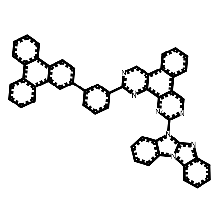 c1cc(-c2ccc3c4ccccc4c4ccccc4c3c2)cc(-c2ncc3c4ccccc4c4cnc(-n5c6ccccc6n6c7ccccc7nc56)nc4c3n2)c1